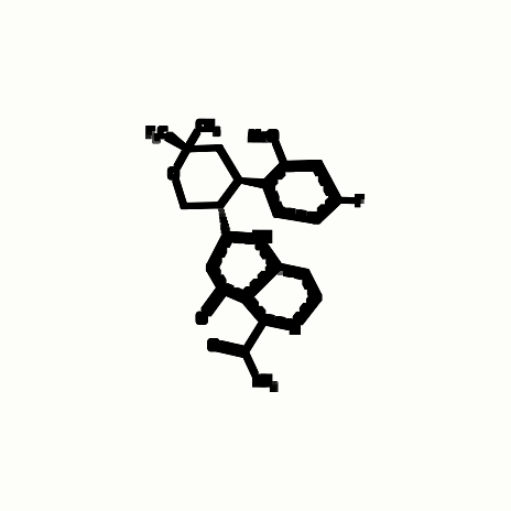 COc1cc(F)ccc1[C@@H]1C[C@](C)(C(F)(F)F)OC[C@H]1c1cc(=O)c2c(C(N)=O)nccc2[nH]1